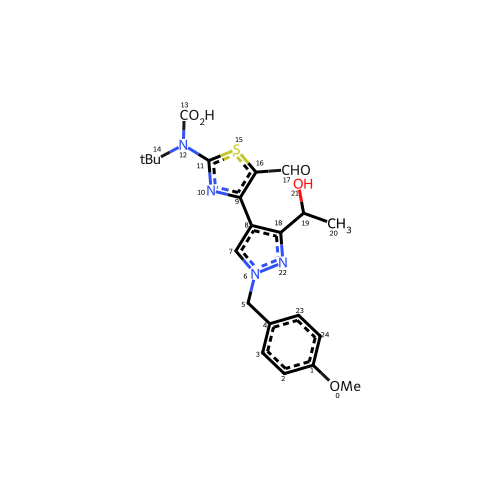 COc1ccc(Cn2cc(-c3nc(N(C(=O)O)C(C)(C)C)sc3C=O)c(C(C)O)n2)cc1